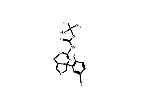 CC(C)(C)OC(=O)NC1=NC2(c3cc(I)ccc3F)COCC2CO1